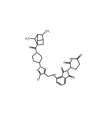 CC1C2CC3(C(=O)N4CCC(n5cc(CNc6cccc7c6C(=O)N(C6CCC(=O)NC6=O)C7=O)c(Cl)n5)CC4)C(C)C1C23